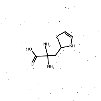 NC(N)(CC1NC=CS1)C(=O)O